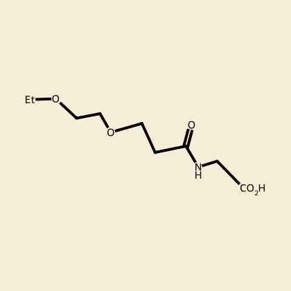 CCOCCOCCC(=O)NCC(=O)O